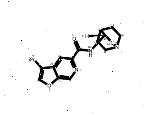 CC(C)c1coc2cnc(C(=O)N[C@H]3CN4CCC3CC4)cc12